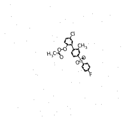 CC(=O)OOc1ccc(Cl)cc1-c1ccc(S(=O)(=O)c2ccc(F)cc2)cc1C